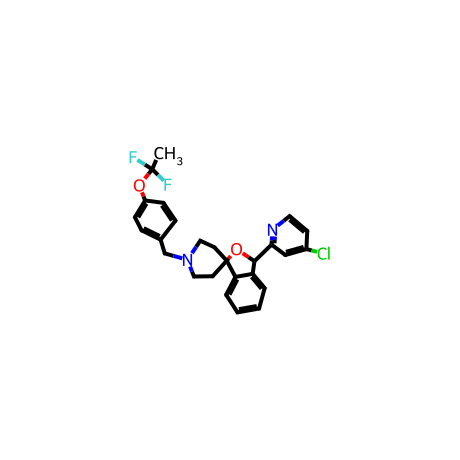 CC(F)(F)Oc1ccc(CN2CCC3(CC2)OC(c2cc(Cl)ccn2)c2ccccc23)cc1